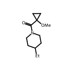 CCC1CCN(C(=O)C2(OC)CC2)CC1